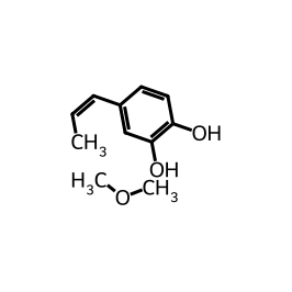 C/C=C\c1ccc(O)c(O)c1.COC